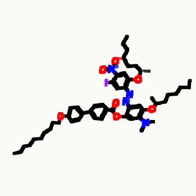 CCCCCCCCCCOc1ccc(-c2ccc(C(=O)Oc3cc(N(C)C)c(O[C@@H](C)CCCCCC)cc3N=Nc3cc(I)c([N+](=O)[O-])cc3O[C@@H](C)CCCCCC)cc2)cc1